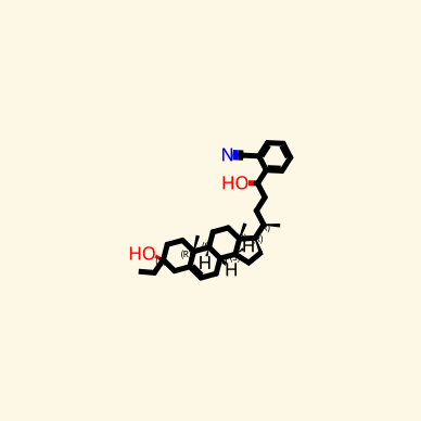 CC[C@]1(O)CC[C@@]2(C)C(=CC[C@H]3[C@@H]4CC[C@H]([C@H](C)CCC(O)c5ccccc5C#N)[C@@]4(C)CC[C@@H]32)C1